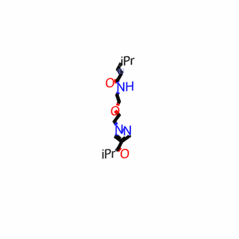 CC(C)/C=C/C(=O)NCCOCCn1cc(C(=O)C(C)C)cn1